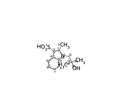 Cc1c(S(=O)(=O)O)c2ccccc2n1CC(C)(C)O